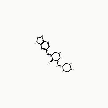 O=C1/C(=C/c2ccc3c(c2)OCO3)CCCC1CN1CCOCC1